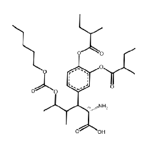 CCCCCOC(=O)OC(C)C(C)C(c1ccc(OC(=O)C(C)CC)c(OC(=O)C(C)CC)c1)[C@H](N)C(=O)O